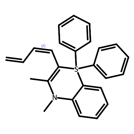 C=C/C=C\C1=C(C)N(C)c2ccccc2S1(c1ccccc1)c1ccccc1